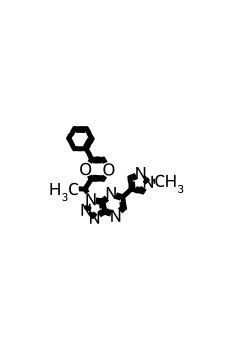 CC(C1=COC=C(C2=CC=CCC2)O1)n1nnc2ncc(-c3cnn(C)c3)nc21